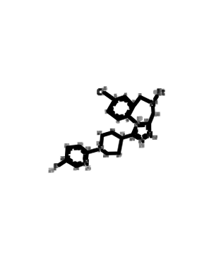 CCN1Cc2cc(Cl)ccc2-n2c(nnc2C2CCN(c3ccc(F)cn3)CC2)C1